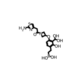 Nc1nc(CC(=O)N2CC(Oc3ccc(CCB(O)O)c(O)c3C(O)O)C2)cs1